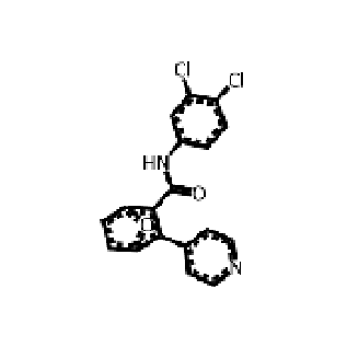 O=C(Nc1ccc(Cl)c(Cl)c1)c1c(-c2ccncc2)c2ccc1o2